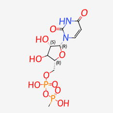 CP(=O)(O)OP(=O)(O)OC[C@H]1O[C@@H](n2ccc(=O)[nH]c2=O)[C@@H](O)C1O